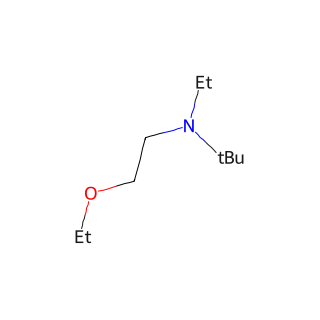 CCOCCN(CC)C(C)(C)C